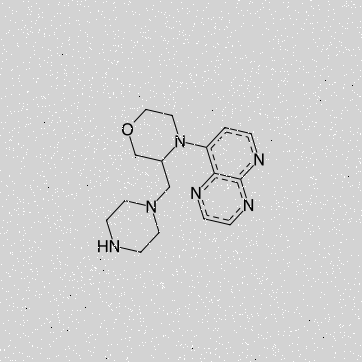 c1cnc2c(N3CCOCC3CN3CCNCC3)ccnc2n1